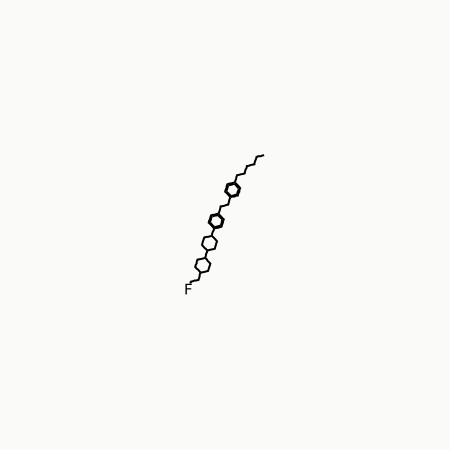 CCCCCCc1ccc(CCc2ccc(C3CCC(C4CCC(CCF)CC4)CC3)cc2)cc1